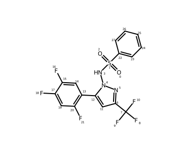 O=S(=O)(Nn1nc(C(F)(F)F)cc1-c1cc(F)c(F)cc1F)c1ccccc1